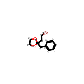 BrCCC1(Cc2ccccc2)OCCO1